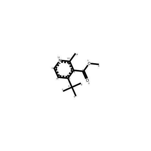 COC(=O)c1c(C(C)(C)C)ccnc1C